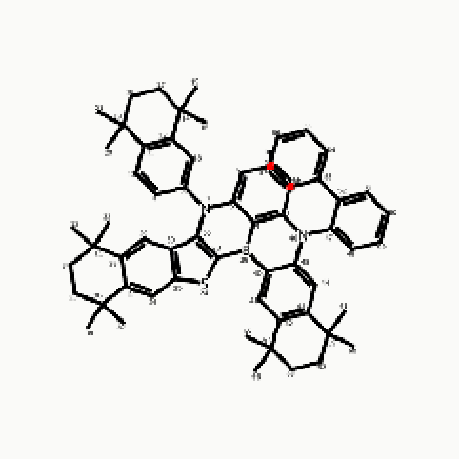 Cc1cc2c3c(c1)N(c1ccc4c(c1)C(C)(C)CCC4(C)C)c1c(sc4cc5c(cc14)C(C)(C)CCC5(C)C)B3c1cc3c(cc1N2c1ccccc1-c1ccccc1)C(C)(C)CCC3(C)C